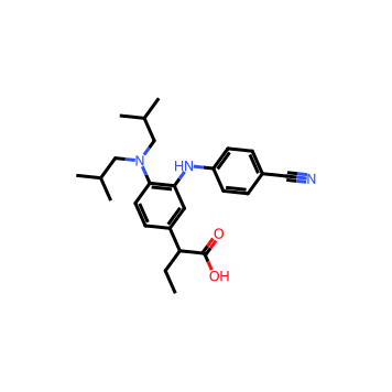 CCC(C(=O)O)c1ccc(N(CC(C)C)CC(C)C)c(Nc2ccc(C#N)cc2)c1